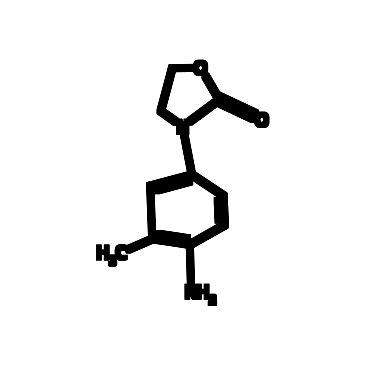 Cc1cc(N2CCOC2=O)ccc1N